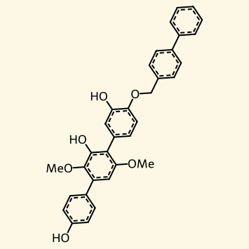 COc1cc(-c2ccc(O)cc2)c(OC)c(O)c1-c1ccc(OCc2ccc(-c3ccccc3)cc2)c(O)c1